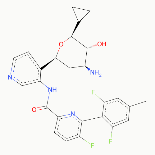 Cc1cc(F)c(-c2nc(C(=O)Nc3cnccc3[C@@H]3C[C@H](N)[C@@H](O)[C@H](C4CC4)O3)ccc2F)c(F)c1